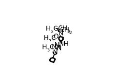 C=CN(C=C(C)C)c1ccc(Nc2nc(N3CC(c4ccccc4)C3)n(C)n2)cc1OC